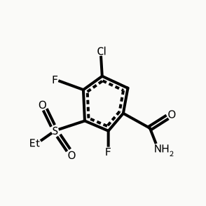 CCS(=O)(=O)c1c(F)c(Cl)cc(C(N)=O)c1F